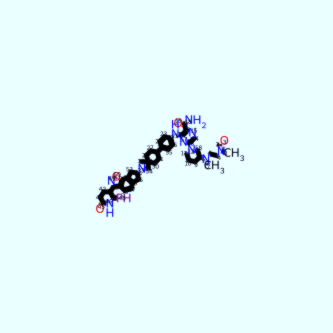 CN(C=O)CCN(C)C1CCCN(c2cnc(C(N)=O)c(Nc3ccc(C4CCC5(CC4)CN(C4Cc6ccc7c(C8CCC(=O)NC8=P)noc7c6C4)C5)cc3)n2)C1